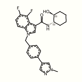 Cn1cc(-c2ccc(Cn3cc(C(=O)N[C@H]4CCCC[C@@H]4O)c4c(F)c(F)ccc43)cc2)cn1